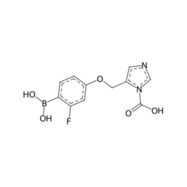 O=C(O)n1cncc1COc1ccc(B(O)O)c(F)c1